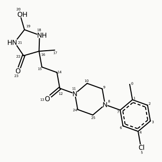 Cc1ccc(Cl)cc1N1CCN(C(=O)CCC2(C)NC(O)NC2=O)CC1